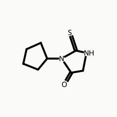 O=C1CNC(=S)N1C1CCCC1